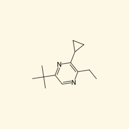 CCc1ncc(C(C)(C)C)nc1C1CC1